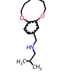 CC(C)CNCc1ccc2c(c1)OCCCCCCO2